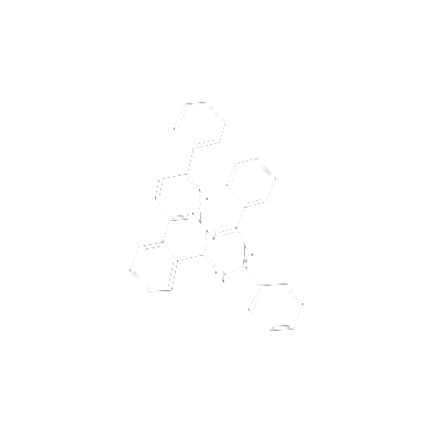 c1ccc(-c2ccc(-c3ccccc3-c3nc(-c4ccccc4)nc(-c4ccccc4)n3)nn2)cc1